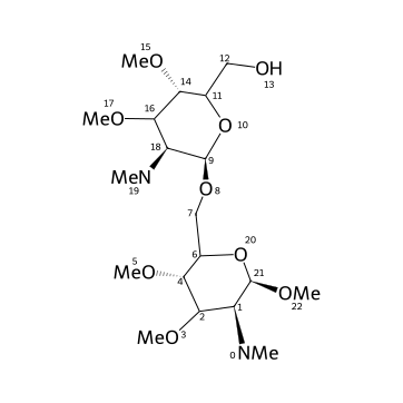 CN[C@H]1C(OC)[C@H](OC)C(CO[C@@H]2OC(CO)[C@@H](OC)C(OC)[C@@H]2NC)O[C@H]1OC